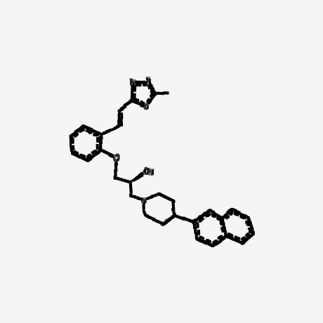 Cc1nnc(/C=C/c2ccccc2OC[C@@H](O)CN2CCC(c3ccc4ccccc4c3)CC2)o1